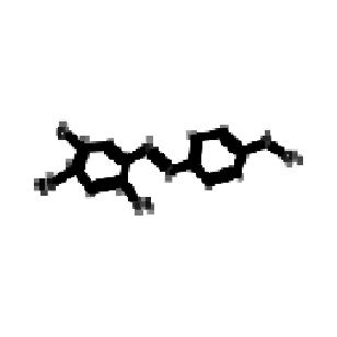 COc1ccc(/N=N/c2cc(Cl)c(N)cc2C)cc1